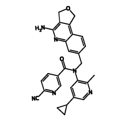 Cc1ncc(C2CC2)cc1N(Cc1ccc2c3c(c(N)nc2c1)COC3)C(=O)c1ccc(C#N)nc1